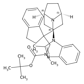 Cc1nc2ccccc2n1[C@H]1C[C@H]2CC[C@@H](C1)N2CC1(CN(C)C(=O)OC(C)(C)C)CCc2ccccc21